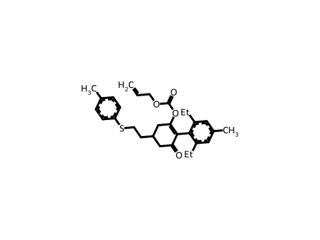 C=CCOC(=O)OC1=C(c2c(CC)cc(C)cc2CC)C(=O)CC(CCSc2ccc(C)cc2)C1